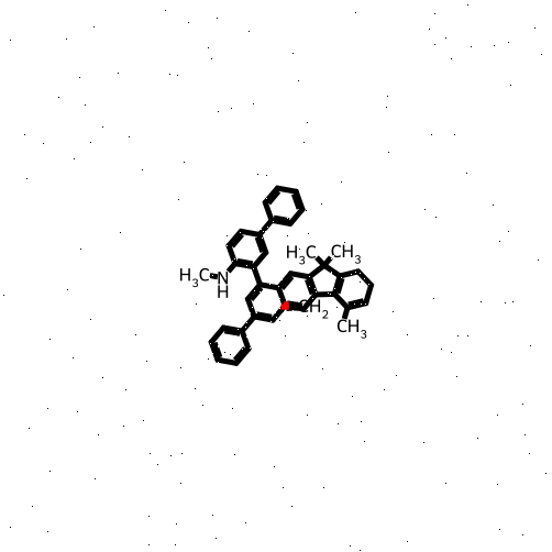 C=C/C=C(\C=C(/c1ccc2c(c1)C(C)(C)C1=C2C(C)=CCC1)c1cc(-c2ccccc2)ccc1NC)c1ccccc1